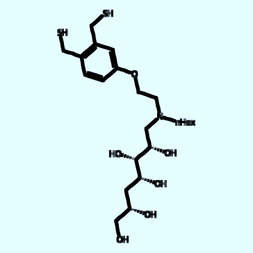 CCCCCCN(CCOc1ccc(CS)c(CS)c1)C[C@H](O)[C@@H](O)[C@H](O)C[C@H](O)CO